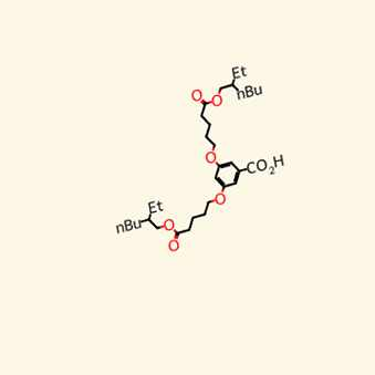 CCCCC(CC)COC(=O)CCCCOc1cc(OCCCCC(=O)OCC(CC)CCCC)cc(C(=O)O)c1